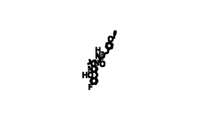 C#CCOc1ccc(CCC[C@H](N)C(=O)N2CC(C)(C)c3nc(O)c(Cc4ccc(F)cc4)cc32)cc1